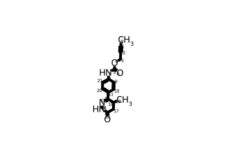 CC#CCOC(=O)Nc1ccc(C2=NNC(=O)CC2C)cc1